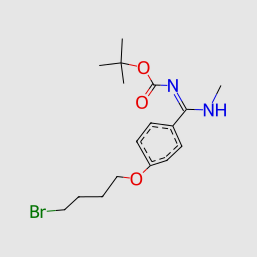 CN/C(=N/C(=O)OC(C)(C)C)c1ccc(OCCCCBr)cc1